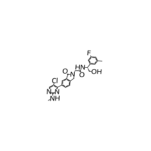 CNc1ncc(Cl)c(-c2ccc3c(c2)C(=O)N(CC(=O)N[C@H](CO)c2cc(C)cc(F)c2)C3)n1